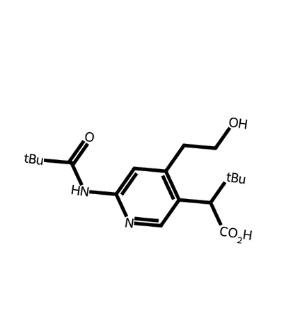 CC(C)(C)C(=O)Nc1cc(CCO)c(C(C(=O)O)C(C)(C)C)cn1